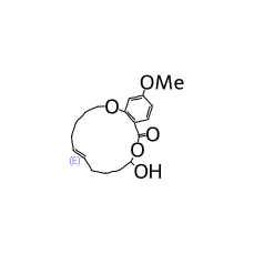 COc1ccc2c(c1)OCCCC/C=C/CCCC(O)OC2=O